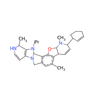 Cc1cc2c(c3c1C1C=CC(C4C=CCCC4)N(C)C1O3)C1N(C2)C2=C(C(C)NC=C2)N1C(C)C